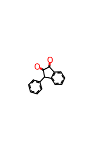 O=C1C(=O)C(c2ccccc2)c2ccccc21